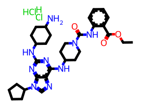 CCOC(=O)c1ccccc1NC(=O)N1CCC(Nc2nc(NC3CCC(N)CC3)nc3c2ncn3C2CCCC2)CC1.Cl.Cl